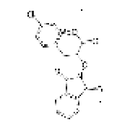 COC(=O)C(Cc1ccc(Cl)cc1)ON1C(=O)c2ccccc2C1=O